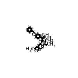 CCC(N1CCC2(CC1)CO[C@@H](C)C2)N(C)C(=O)C(=C(N)N)c1ccc(OCc2ccccc2)cc1